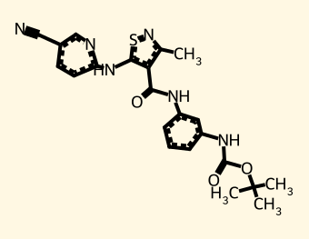 Cc1nsc(Nc2ccc(C#N)cn2)c1C(=O)Nc1cccc(NC(=O)OC(C)(C)C)c1